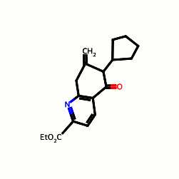 C=C1Cc2nc(C(=O)OCC)ccc2C(=O)C1C1CCCC1